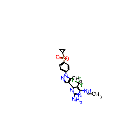 CCNc1nc(N)nc(-c2cnn(-c3ccc(S(=O)(=O)C4CC4)cc3)c2C)c1C(F)(F)F